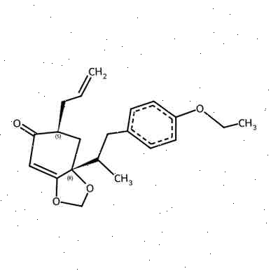 C=CC[C@H]1C[C@]2(C(C)Cc3ccc(OCC)cc3)OCOC2=CC1=O